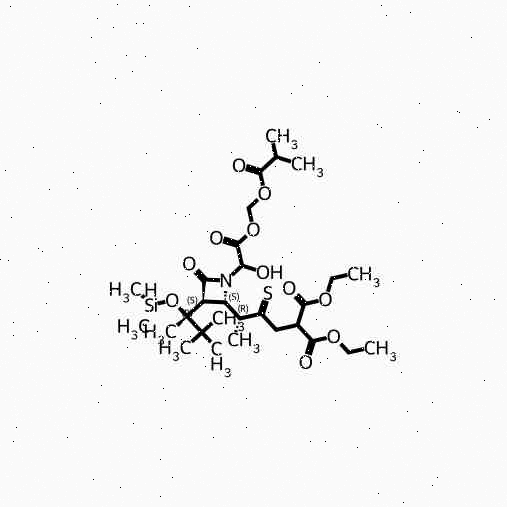 CCOC(=O)C(CC(=S)[C@H](C)[C@@H]1[C@@H]([C@@](C)(O[SiH](C)C)C(C)(C)C)C(=O)N1C(O)C(=O)OCOC(=O)C(C)C)C(=O)OCC